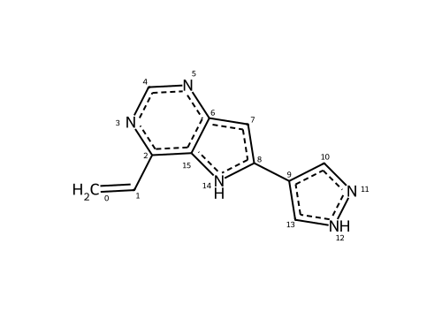 C=Cc1ncnc2cc(-c3cn[nH]c3)[nH]c12